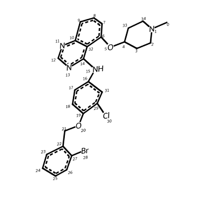 CN1CCC(Oc2cccc3ncnc(Nc4ccc(OCc5ccccc5Br)c(Cl)c4)c23)CC1